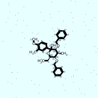 CC[C@H]1OC(O)(c2ccc(OC)c(C)c2)[C@H](OCc2ccccc2)[C@@H](C)[C@@H]1OCc1ccccc1